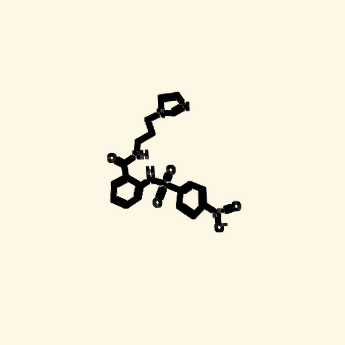 O=C(NCCCn1ccnc1)c1ccccc1NS(=O)(=O)c1ccc([N+](=O)[O-])cc1